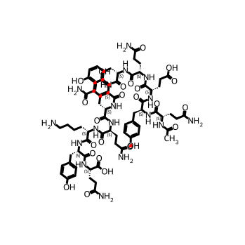 CC(=O)N[C@@H](CCC(N)=O)C(=O)N[C@@H](Cc1ccc(O)cc1)C(=O)N[C@@H](CCC(=O)O)C(=O)N[C@@H](CCC(N)=O)C(=O)N[C@@H](Cc1ccc(O)cc1)C(=O)N[C@@H](CCC(N)=O)C(=O)N[C@@H](Cc1ccc(O)cc1)C(=O)N[C@@H](CCC(N)=O)C(=O)N[C@@H](CCCCN)C(=O)N[C@@H](Cc1ccc(O)cc1)C(=O)N[C@@H](CCC(N)=O)C(=O)O